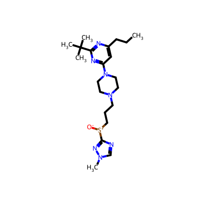 CCCc1cc(N2CCN(CCC[S+]([O-])c3ncn(C)n3)CC2)nc(C(C)(C)C)n1